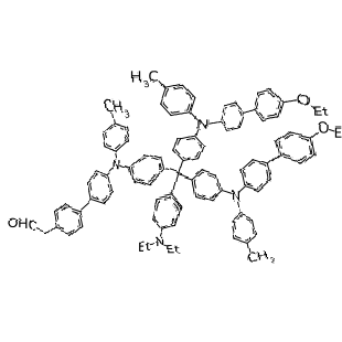 CCOc1ccc(-c2ccc(N(c3ccc(C)cc3)c3ccc(C(c4ccc(N(CC)CC)cc4)(c4ccc(N(c5ccc(C)cc5)c5ccc(-c6ccc(CC=O)cc6)cc5)cc4)c4ccc(N(c5ccc(C)cc5)c5ccc(-c6ccc(OCC)cc6)cc5)cc4)cc3)cc2)cc1